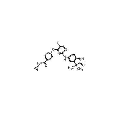 CC1(C)C(=O)Nc2ccc(Nc3ncc(F)c(Oc4ccc(C(=O)NC5CC5)cc4)n3)cc21